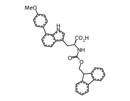 COc1ccc(-c2cccc3c(C[C@H](NC(=O)OCC4c5ccccc5-c5ccccc54)C(=O)O)c[nH]c23)cc1